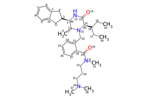 C=C1[C@@H](C2Cc3ccccc3C2)NC(=O)[C@@H](C(CC)CC)N1Cc1ccccc1C(=O)N(C)CCCN(C)C